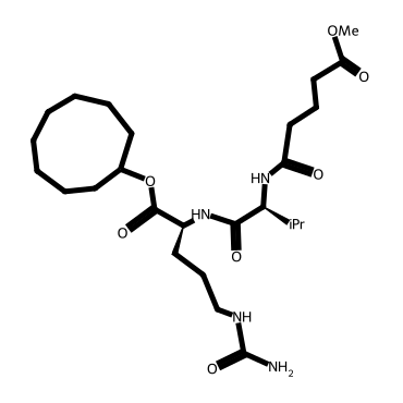 COC(=O)CCCC(=O)N[C@H](C(=O)N[C@@H](CCCNC(N)=O)C(=O)OC1CCCCCCCC1)C(C)C